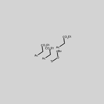 CCCC[O][Ti].CCOC(=O)CC(C)=O.CCOC(=O)CC(C)=O.CCOC(=O)CC(C)=O